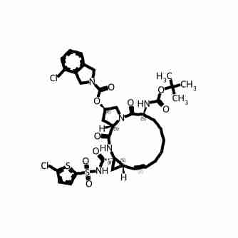 CC(C)(C)OC(=O)N[C@H]1CCCCC/C=C\[C@@H]2C[C@@]2(C(=O)NS(=O)(=O)c2ccc(Cl)s2)NC(=O)[C@@H]2C[C@@H](OC(=O)N3Cc4cccc(Cl)c4C3)CN2C1=O